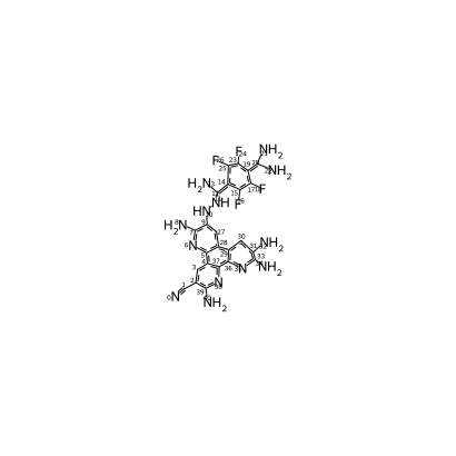 N#Cc1cc2c3nc(N)c(NNC(N)=c4c(F)c(F)c(=C(N)N)c(F)c4F)cc3c3cc(N)c(N)nc3c2nc1N